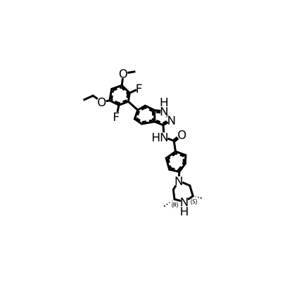 CCOc1cc(OC)c(F)c(-c2ccc3c(NC(=O)c4ccc(N5C[C@@H](C)N[C@@H](C)C5)cc4)n[nH]c3c2)c1F